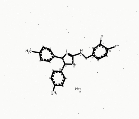 Cc1ccc(C2N=C(NCc3ccc(F)c(F)c3)NC2c2ccc(C)cc2)cc1.Cl